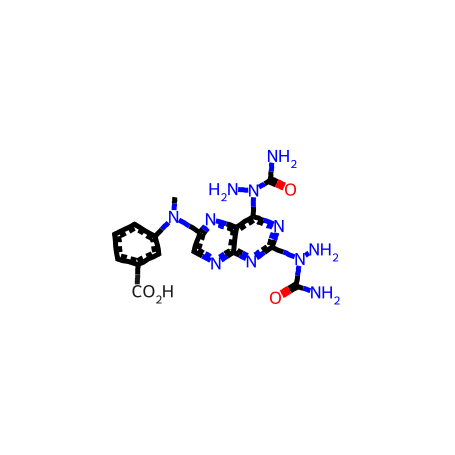 CN(c1cccc(C(=O)O)c1)c1cnc2nc(N(N)C(N)=O)nc(N(N)C(N)=O)c2n1